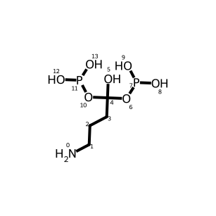 NCCCC(O)(OP(O)O)OP(O)O